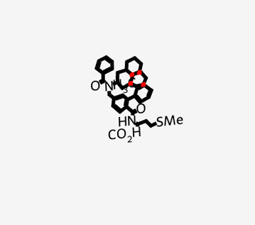 CSCCC(NC(=O)c1ccc(CN(C(=O)c2ccccc2)C(CC2CCCCC2)CC2CCCCC2)cc1-c1ccccc1C)C(=O)O